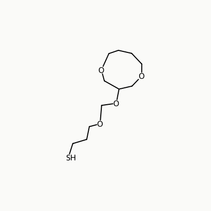 SCCCOCOC1COCCCCOC1